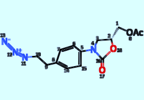 CC(=O)OC[C@H]1CN(c2ccc(CCN=[N+]=[N-])cc2)C(=O)O1